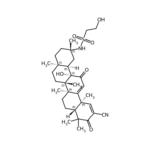 CC1(C)C(=O)C(C#N)=C[C@]2(C)C3=CC(=O)[C@]4(O)[C@@H]5C[C@@](C)(NS(=O)(=O)CCO)CC[C@]5(C)CC[C@@]4(C)[C@]3(C)CC[C@@H]12